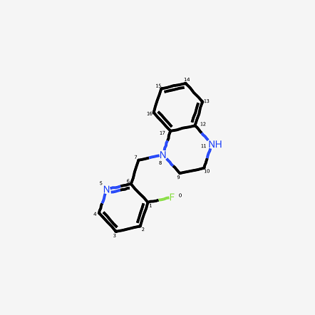 Fc1cccnc1CN1CCNc2ccccc21